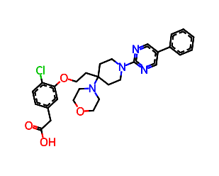 O=C(O)Cc1ccc(Cl)c(OCCC2(N3CCOCC3)CCN(c3ncc(-c4ccccc4)cn3)CC2)c1